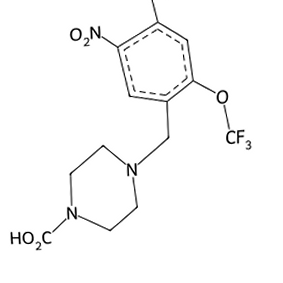 CCOC(=O)c1cc(OC(F)(F)F)c(CN2CCN(C(=O)O)CC2)cc1[N+](=O)[O-]